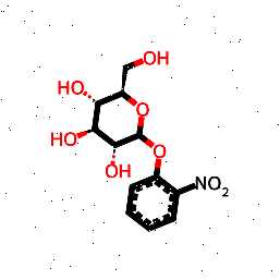 O=[N+]([O-])c1ccccc1OC1O[C@H](CO)[C@@H](O)[C@H](O)[C@H]1O